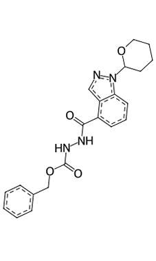 O=C(NNC(=O)c1cccc2c1cnn2C1CCCCO1)OCc1ccccc1